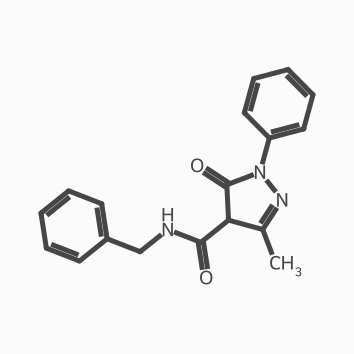 CC1=NN(c2ccccc2)C(=O)C1C(=O)NCc1ccccc1